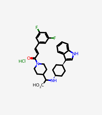 Cl.O=C(O)C(N[C@H]1CC[C@H](c2c[nH]c3ccccc32)CC1)C1CCN(C(=O)/C=C/c2cc(F)cc(F)c2)CC1